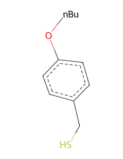 CCCCOc1ccc(CS)cc1